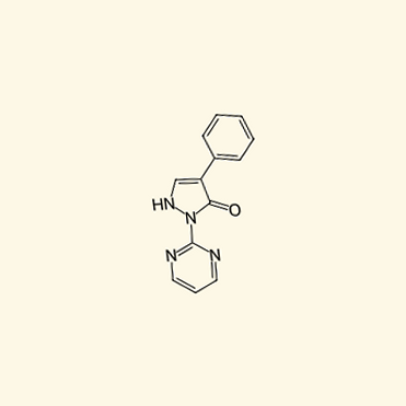 O=c1c(-c2ccccc2)c[nH]n1-c1ncccn1